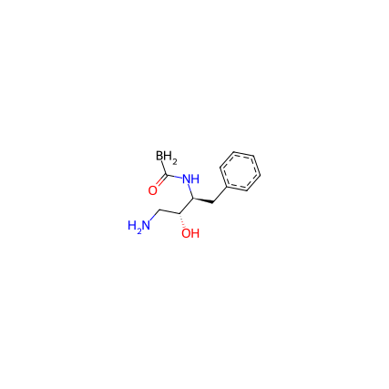 BC(=O)N[C@@H](Cc1ccccc1)[C@H](O)CN